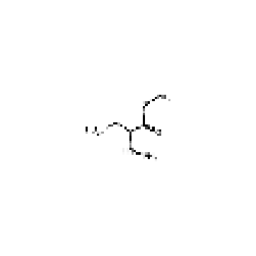 O=C(O)CC(NP)C(=O)OP